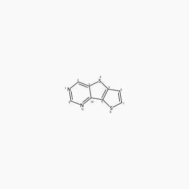 [c]1ncc2sc3ccsc3c2n1